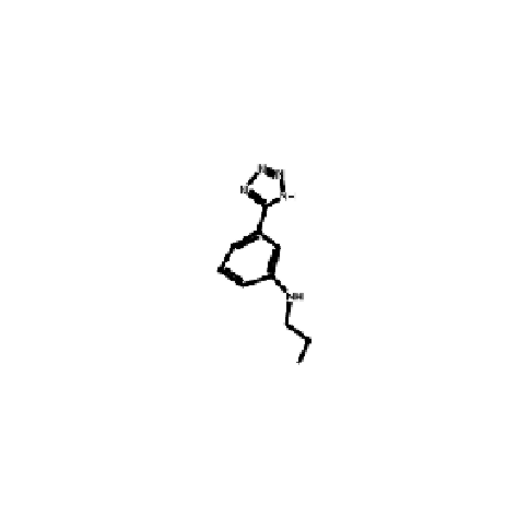 CCCNc1cccc(-c2nnn[nH]2)c1